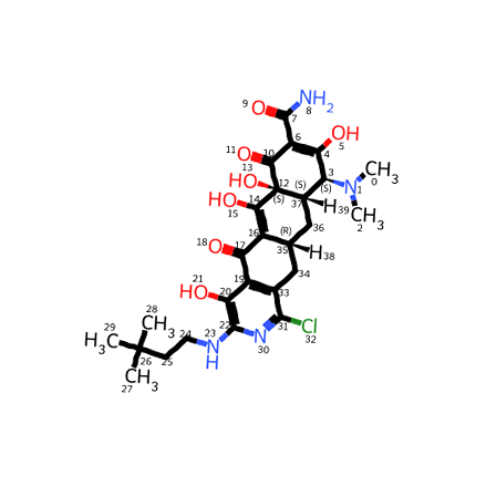 CN(C)[C@@H]1C(O)=C(C(N)=O)C(=O)[C@@]2(O)C(O)=C3C(=O)c4c(O)c(NCCC(C)(C)C)nc(Cl)c4C[C@H]3C[C@@H]12